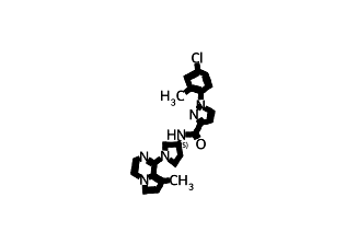 Cc1cc(Cl)ccc1-n1ccc(C(=O)N[C@H]2CCN(c3nccn4ccc(C)c34)C2)n1